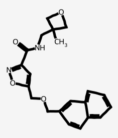 CC1(CNC(=O)c2cc(COCc3ccc4ccccc4c3)on2)COC1